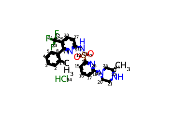 Cc1ccccc1-c1nc(NS(=O)(=O)c2cccc(N3CCN[C@H](C)C3)n2)ccc1C(F)(F)F.Cl